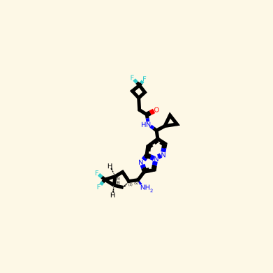 N[C@H](c1cn2ncc(C(NC(=O)CC3CC(F)(F)C3)C3CC3)cc2n1)[C@@H]1C[C@@H]2[C@H](C1)C2(F)F